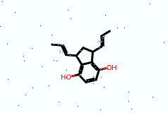 C/C=C/C1CC(/C=C/C)c2c(O)ccc(O)c21